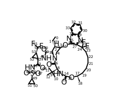 CC[C@@H]1[C@@H]2CN(C(=O)[C@H](C(C)(C)C)NC(=O)O[C@H](C)CCCCCC(F)(F)c3nc4ccccc4nc3O2)[C@@H]1C(=O)N[C@]1(C(=O)NS(=O)(=O)C2CC2)C[C@H]1C(F)F